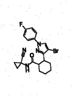 N#CC1(NC(=O)C2CCCCC2c2nn(-c3ccc(F)cc3)cc2Br)CC1